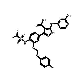 Cc1nccc(Nc2[nH]nc(-c3ccc(NS(=O)(=O)C(F)F)c(OCCc4ccc(F)cc4)c3)c2C(N)=O)n1